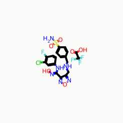 NS(=O)(=O)c1ccc(CNCc2nonc2/C(=N/O)Nc2ccc(F)c(Cl)c2)cc1.O=C(O)C(F)(F)F